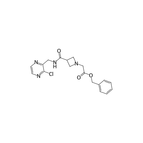 O=C(CN1CC(C(=O)NCc2nccnc2Cl)C1)OCc1ccccc1